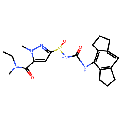 CCN(C)C(=O)c1cc([S+]([O-])NC(=O)Nc2c3c(cc4c2CCC4)CCC3)nn1C